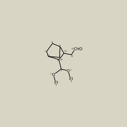 CCOC(OCC)C1C2CCC(C2)C1CC=O